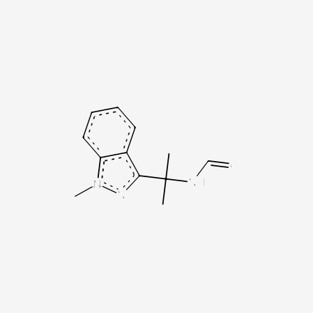 Cn1nc(C(C)(C)NC=O)c2ccccc21